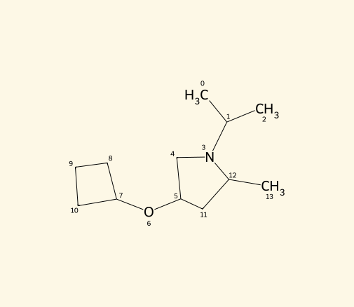 CC(C)N1CC(OC2CCC2)CC1C